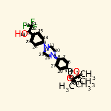 CC1(C)OB(c2ccc(N3CCN(c4ccc(C(O)C(F)(F)F)cc4)CC3)cc2)OC1(C)C